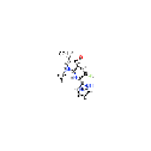 O=C(O)c1cn(C2CC2)c2nc(N3CC4CCC3CN4)c(F)cc2c1=O